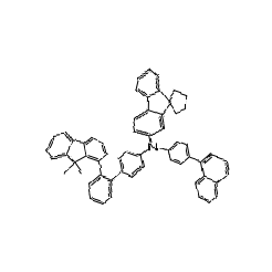 CC1(C)c2ccccc2-c2cccc(-c3ccccc3-c3ccc(N(c4ccc(-c5cccc6ccccc56)cc4)c4ccc5c(c4)C4(CCCC4)c4ccccc4-5)cc3)c21